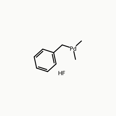 F.[CH3][Pd]([CH3])[CH2]c1ccccc1